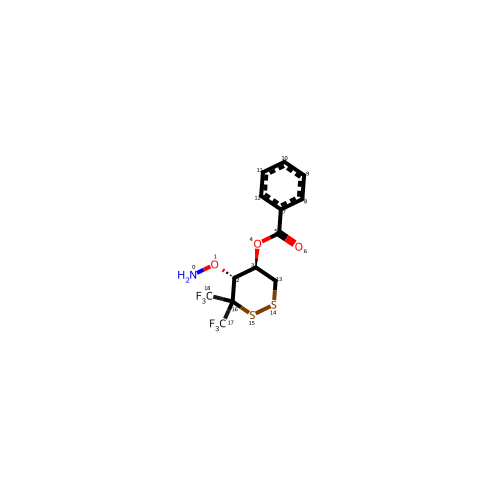 NO[C@@H]1[C@@H](OC(=O)c2ccccc2)CSSC1(C(F)(F)F)C(F)(F)F